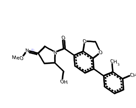 CO/N=C1\CC(CO)N(C(=O)c2ccc(-c3cccc(C)c3C)c3c2OCO3)C1